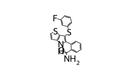 NC(=O)c1ccccc1-c1[nH]c2ccsc2c1Sc1cccc(F)c1